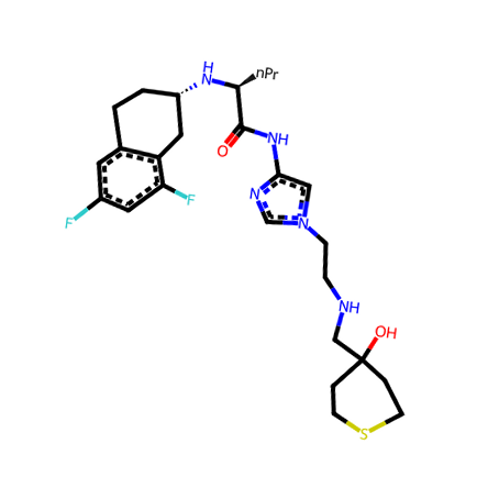 CCC[C@H](N[C@H]1CCc2cc(F)cc(F)c2C1)C(=O)Nc1cn(CCNCC2(O)CCSCC2)cn1